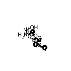 N#Cc1c(O)ccc(C(=O)OC(=O)c2occc2-c2ccccc2OCc2ccccc2)c1C(=O)NN